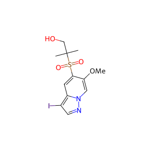 COc1cn2ncc(I)c2cc1S(=O)(=O)C(C)(C)CO